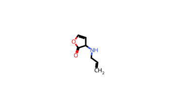 C=CCNC1C=COC1=O